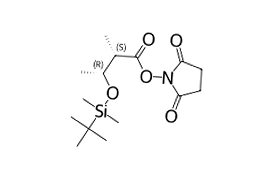 C[C@H](C(=O)ON1C(=O)CCC1=O)[C@@H](C)O[Si](C)(C)C(C)(C)C